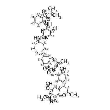 COc1cc(C(CC(C)=O)c2ccc(C)c(CN3C[C@@H](C)Oc4cc(C5CCCC(Nc6ncc(Cl)c(Nc7ccccc7S(=O)(=O)C(C)C)n6)CC5)ccc4S3(=O)=O)c2)cc2nnn(C)c12